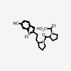 CCC(C(=O)O)N1CCCC1C(=O)N1CCCC1CCc1cc2ccc(C#N)cc2n1CC